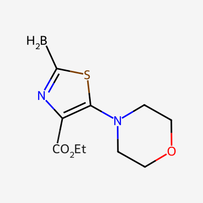 Bc1nc(C(=O)OCC)c(N2CCOCC2)s1